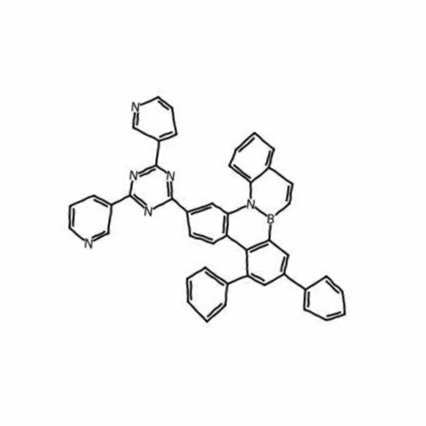 C1=Cc2ccccc2N2B1c1cc(-c3ccccc3)cc(-c3ccccc3)c1-c1ccc(-c3nc(-c4cccnc4)nc(-c4cccnc4)n3)cc12